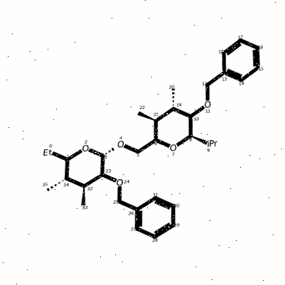 CCC1O[C@H](OCC2O[C@H](C(C)C)C(OCc3ccccc3)[C@@H](C)[C@@H]2C)C(OCc2ccccc2)[C@@H](C)[C@@H]1C